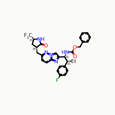 CC[C@@H](c1ccc(F)cc1)[C@H](NC(=O)OCc1ccccc1)c1cn2nc(C[C@H]3C[C@@H](C(F)(F)F)NC3=O)ccc2n1